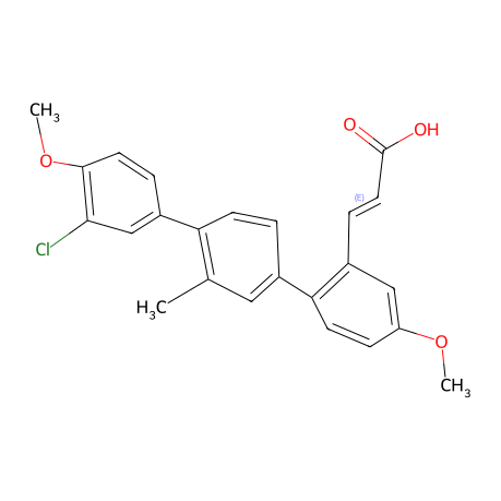 COc1ccc(-c2ccc(-c3ccc(OC)c(Cl)c3)c(C)c2)c(/C=C/C(=O)O)c1